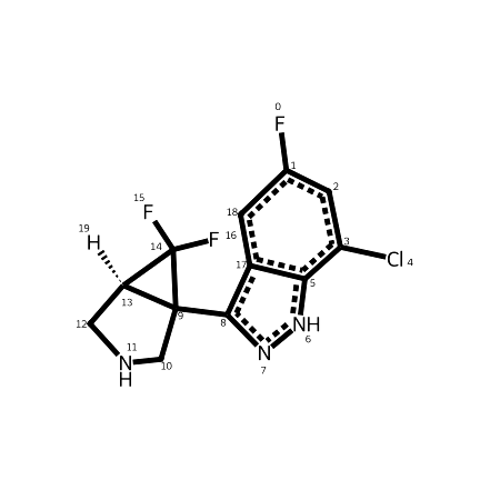 Fc1cc(Cl)c2[nH]nc(C34CNC[C@H]3C4(F)F)c2c1